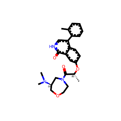 Cc1ccccc1-c1c[nH]c(=O)c2cc(O[C@H](C)C(=O)N3CCOC[C@@H](N(C)C)C3)ccc12